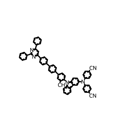 Cc1cc(-c2ccc(-c3ccc(-c4cc(-c5ccccc5)nc(-c5ccccc5)n4)cc3)cc2)ccc1-n1c2ccccc2c2cc(N(c3ccc(C#N)cc3)c3ccc(C#N)cc3)ccc21